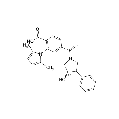 Cc1ccc(C)n1-c1cc(C(=O)N2CC(c3ccccc3)[C@@H](O)C2)ccc1C(=O)O